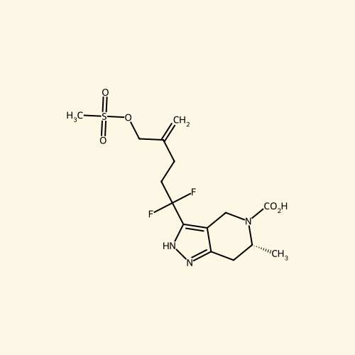 C=C(CCC(F)(F)c1[nH]nc2c1CN(C(=O)O)[C@H](C)C2)COS(C)(=O)=O